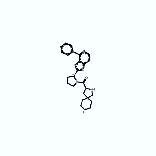 O=C(C1CC2(CCNCC2)CN1)N1CCC[C@H]1c1nc2c(-c3ccccc3)nccc2s1